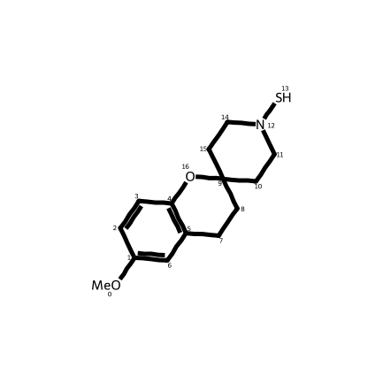 COc1ccc2c(c1)CCC1(CCN(S)CC1)O2